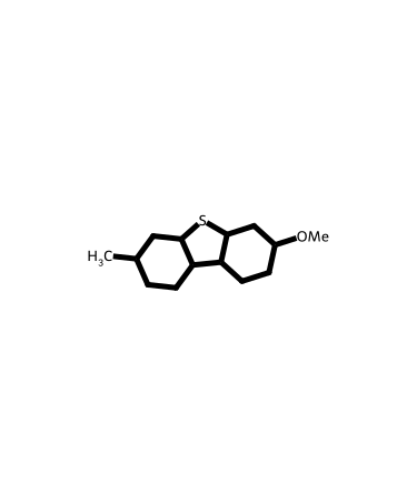 COC1CCC2C(C1)SC1CC(C)CCC12